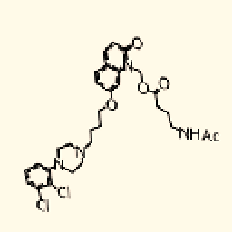 CC(=O)NCCCC(=O)OCn1c(=O)ccc2ccc(OCCCCN3CCN(c4cccc(Cl)c4Cl)CC3)cc21